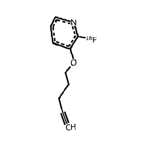 C#CCCCOc1cccnc1[18F]